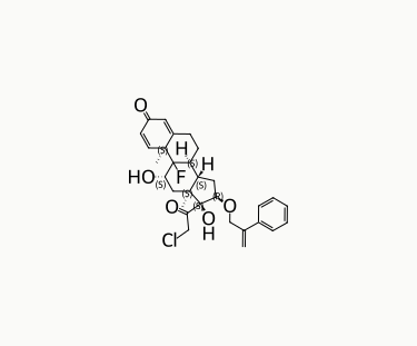 C=C(CO[C@@H]1C[C@H]2[C@@H]3CCC4=CC(=O)C=C[C@]4(C)C3(F)[C@@H](O)C[C@]2(C)[C@@]1(O)C(=O)CCl)c1ccccc1